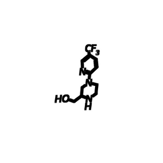 OCC1CN(c2ccc(C(F)(F)F)cn2)CCN1